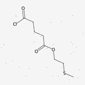 CSCCOC(=O)CCCC(=O)Cl